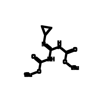 CC(C)(C)OC(=O)NC(=NC1CC1)NC(=O)OC(C)(C)C